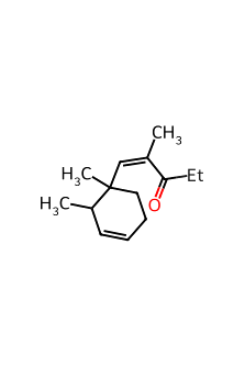 CCC(=O)C(C)=CC1(C)CCC=CC1C